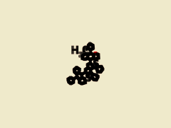 Cc1ccccc1-c1c2ccccc2c(-c2cc3cc(-c4c5ccccc5c(-c5ccccc5)c5ccccc45)c4sc5ccccc5c4c3c3c2sc2ccccc23)c2ccccc12